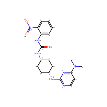 CN(C)c1ccnc(N[C@H]2CC[C@@H](NC(=O)Nc3ccccc3[N+](=O)[O-])CC2)n1